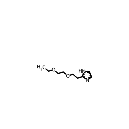 CCOCCOCCc1n[c]c[nH]1